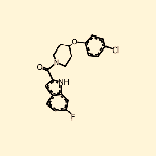 O=C(c1cc2ccc(F)cc2[nH]1)N1CCC(Oc2ccc(Cl)cc2)CC1